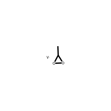 CC1OO1.[V]